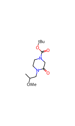 COC(C)CN1CCN(C(=O)OC(C)(C)C)CC1=O